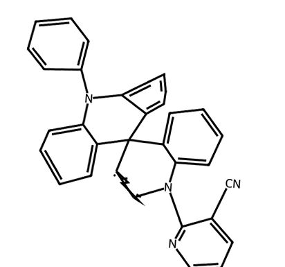 N#Cc1cccnc1N1c2ccccc2C2(c3ccccc3N(c3ccccc3)c3ccccc32)c2ccccc21